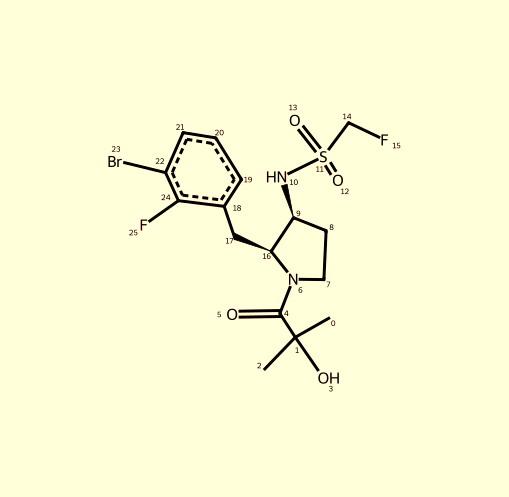 CC(C)(O)C(=O)N1CC[C@H](NS(=O)(=O)CF)[C@@H]1Cc1cccc(Br)c1F